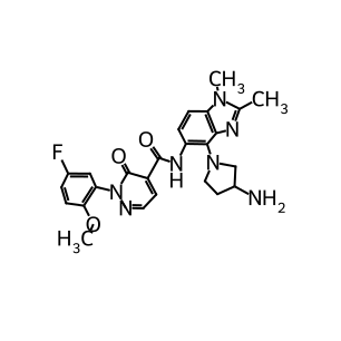 COc1ccc(F)cc1-n1nccc(C(=O)Nc2ccc3c(nc(C)n3C)c2N2CCC(N)C2)c1=O